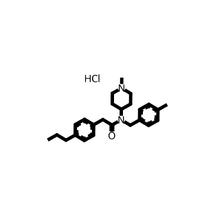 CCCc1ccc(CC(=O)N(Cc2ccc(C)cc2)C2CCN(C)CC2)cc1.Cl